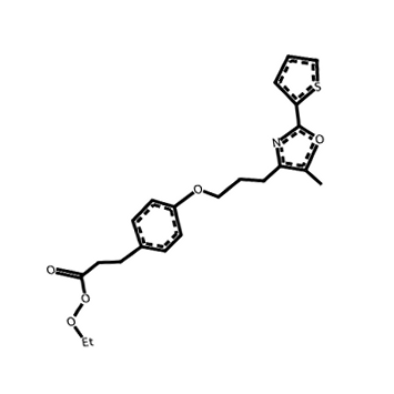 CCOOC(=O)CCc1ccc(OCCCc2nc(-c3cccs3)oc2C)cc1